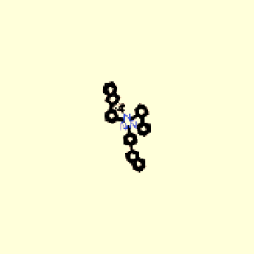 C[Si]1(C)c2cc3ccccc3cc2-c2cccc(-c3nc(-c4ccc(-c5ccc6ccccc6c5)cc4)nc(-c4ccccc4-c4ccccc4)n3)c21